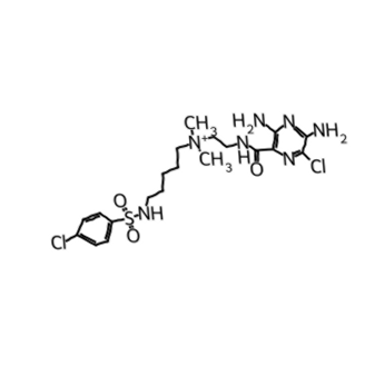 C[N+](C)(CCCCCNS(=O)(=O)c1ccc(Cl)cc1)CCNC(=O)c1nc(Cl)c(N)nc1N